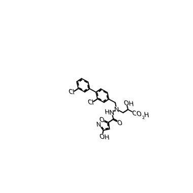 O=C(NN(Cc1ccc(-c2cccc(Cl)c2)c(Cl)c1)CC(O)C(=O)O)c1cc(O)no1